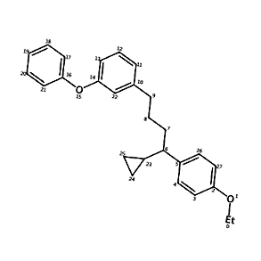 CCOc1ccc(C(CCCc2cccc(Oc3ccccc3)c2)C2CC2)cc1